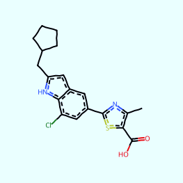 Cc1nc(-c2cc(Cl)c3[nH]c(CC4CCCC4)cc3c2)sc1C(=O)O